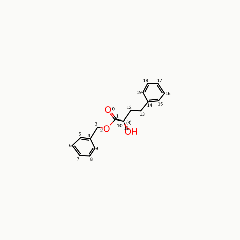 O=C(OCc1ccccc1)[C@H](O)CCc1ccccc1